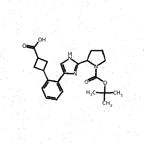 CC(C)(C)OC(=O)N1CCCC1c1nc(-c2ccccc2C2CC(C(=O)O)C2)c[nH]1